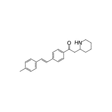 Cc1ccc(C=Cc2ccc(C(=O)CC3CCCCN3)cc2)cc1